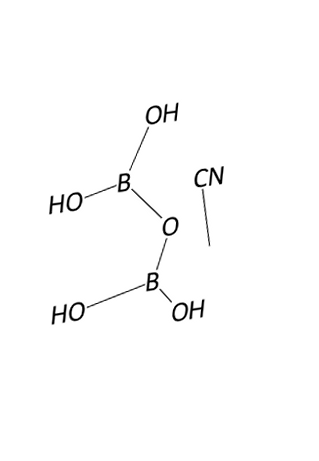 CC#N.OB(O)OB(O)O